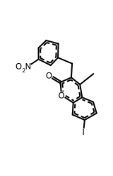 Cc1c(Cc2cccc([N+](=O)[O-])c2)c(=O)oc2cc(I)ccc12